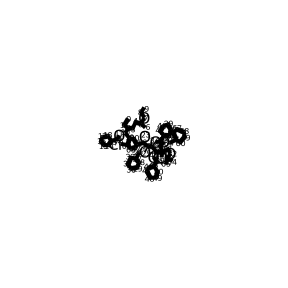 C=C/C(=C\C=C(/C)OCC)C(OCc1ccccc1)c1cc(C(=O)[C@H](OCc2ccccc2)[C@@H](OCc2ccccc2)[C@H](OCc2ccccc2)C2(COCc3ccccc3)COC(C)(C)O2)ccc1Cl